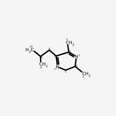 CC1=NC(C)CN=C1CC(C)C